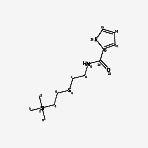 C[Si](C)(C)CCSCCNC(=O)c1cccs1